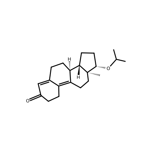 CC(C)O[C@H]1CC[C@H]2[C@@H]3CCC4=CC(=O)CCC4=C3CC[C@]12C